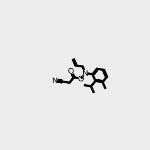 C=CCN(OC(=O)CC#N)c1cccc(C)c1C(C)C